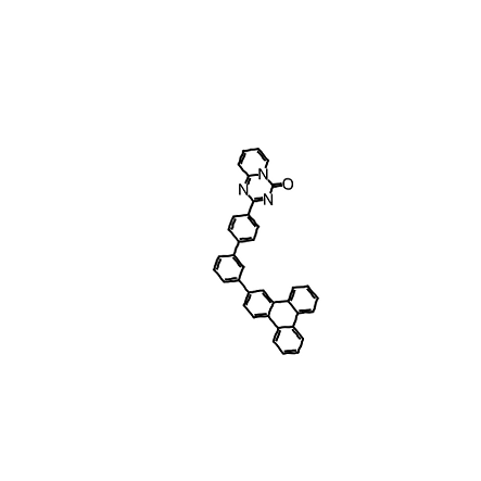 O=c1nc(-c2ccc(-c3cccc(-c4ccc5c6ccccc6c6ccccc6c5c4)c3)cc2)nc2ccccn12